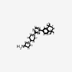 CC1(C)CCC(C)(C)c2cc(-c3ncnc(N4CCC(N5CCC(N)C5)CC4)n3)ccc21